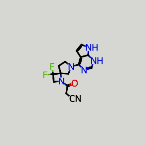 N#CCC(=O)N1CC(F)(F)C12CCN(C1=C3C=CNC3NC=N1)C2